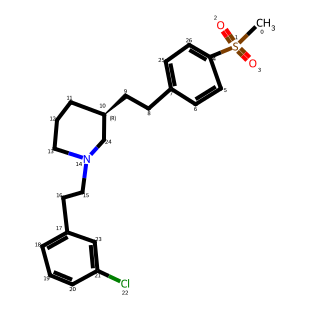 CS(=O)(=O)c1ccc(CC[C@@H]2CCCN(CCc3cccc(Cl)c3)C2)cc1